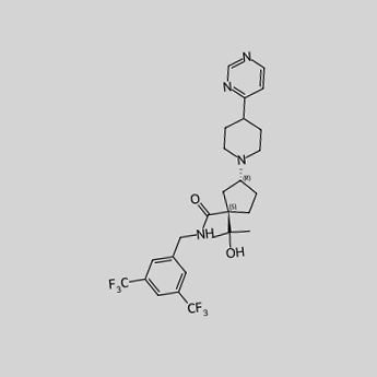 CC(C)(O)[C@]1(C(=O)NCc2cc(C(F)(F)F)cc(C(F)(F)F)c2)CC[C@@H](N2CCC(c3ccncn3)CC2)C1